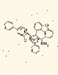 N/C(=N\C(=N/Cc1ccc(-c2ccccc2)cc1)c1ccccc1)c1cccc2oc3cccc(-c4cccc5oc6ccccc6c45)c3c12